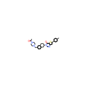 CC(=O)N1CCN(Cc2ccc3c(c2)CC[C@H](n2cnc4cc(-c5ccc(C)cc5)sc4c2=O)C3)CC1